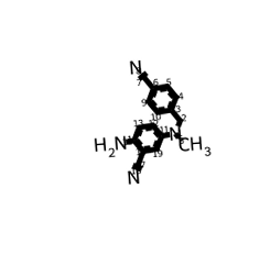 CN(Cc1ccc(C#N)cc1)c1ccc(N)c(C#N)c1